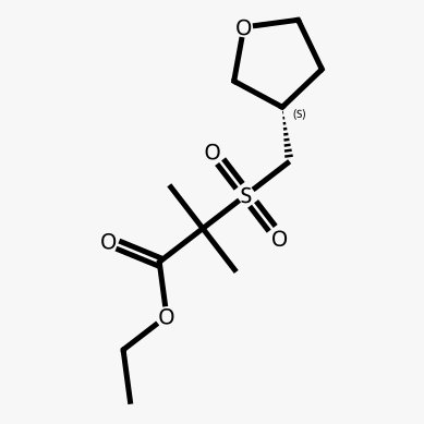 CCOC(=O)C(C)(C)S(=O)(=O)C[C@H]1CCOC1